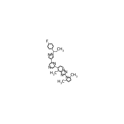 CCC(c1ccc(F)cc1)n1cc(-c2cncc(-c3ccn4nc(-n5c(C)ccc5C)nc4c3C)n2)cn1